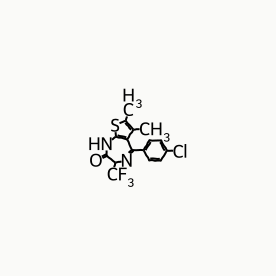 Cc1sc2c(c1C)C(c1ccc(Cl)cc1)=NC(C(F)(F)F)C(=O)N2